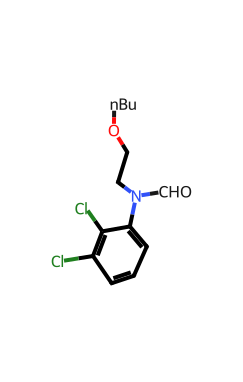 CCCCOCCN(C=O)c1cccc(Cl)c1Cl